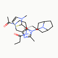 CCC(=O)N[C@@H](CCN1C2CCC1CC(n1c(C)nc3c1CCN(C(C)=O)C3)C2)C1SC=CN1C